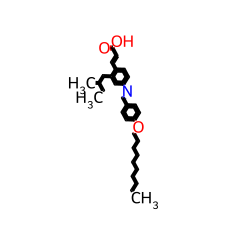 CCCCCCCCCCOc1ccc(C=Nc2ccc(C=CC(=O)O)c(CC(C)CC)c2)cc1